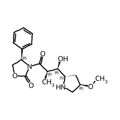 CO[C@H]1CN[C@H]([C@H](O)[C@@H](C)C(=O)N2C(=O)OC[C@H]2c2ccccc2)C1